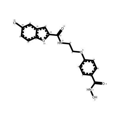 O=C(NO)c1ccc(OCCNC(=O)c2cc3cc(Cl)ccc3o2)cc1